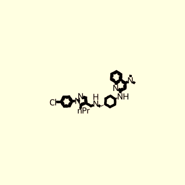 CCCc1c(CNC[C@H]2CC[C@@H](Nc3cc(N(C)C)c4ccccc4n3)CC2)cnn1-c1ccc(Cl)cc1